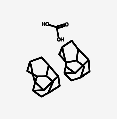 C1C2CC3C4CC5CC(C14)C(C2)C3C5.C1C2CC3C4CC5CC(C14)C(C2)C3C5.O=C(O)O